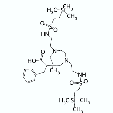 CC1(C(Cc2ccccc2)C(=O)O)CN(CCNS(=O)(=O)CC[Si](C)(C)C)CCN(CCNS(=O)(=O)CC[Si](C)(C)C)C1